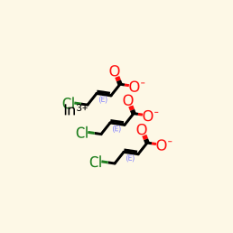 O=C([O-])/C=C/CCl.O=C([O-])/C=C/CCl.O=C([O-])/C=C/CCl.[In+3]